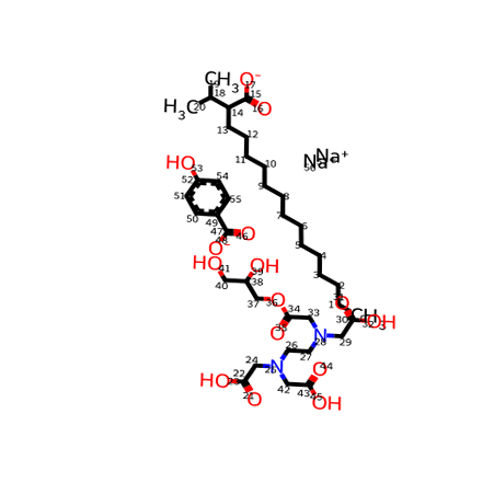 CCCCCCCCCCCCCCC(C(=O)[O-])C(C)C.O=C(O)CN(CCN(CC(=O)O)CC(=O)OCC(O)CO)CC(=O)O.O=C([O-])c1ccc(O)cc1.[Na+].[Na+]